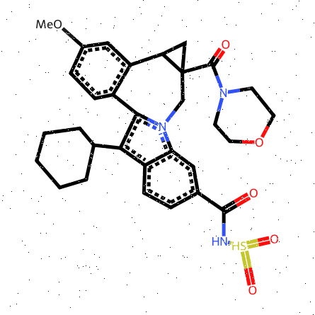 COc1ccc2c(c1)C1CC1(C(=O)N1CCOCC1)Cn1c-2c(C2CCCCC2)c2ccc(C(=O)N[SH](=O)=O)cc21